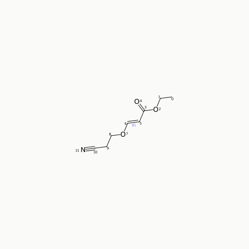 CCOC(=O)/C=C/OCCC#N